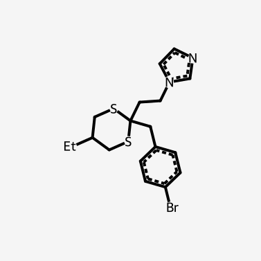 CCC1CSC(CCn2ccnc2)(Cc2ccc(Br)cc2)SC1